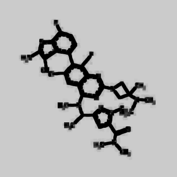 CC(c1cc(C(=O)N(C)C)n(C)n1)N(C)c1nc(N2CC(C)(N(C)C)C2)nc2c(F)c(-c3ccc(F)c4sc(N)c(C#N)c34)c(Cl)cc12